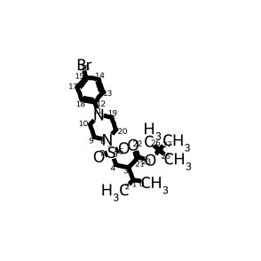 CC(C)C(CS(=O)(=O)N1CCN(c2ccc(Br)cc2)CC1)C(=O)OC(C)(C)C